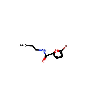 COCCNC(=O)c1ccc(Br)o1